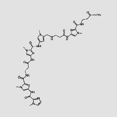 COC(=O)CCNC(=O)c1nc(NC(=O)CCNCc2cc(NC(=O)c3nc(NC(=O)CCNC(=O)c4cc(NC(=O)c5nccn5C)cn4C)cn3C)cn2C)cn1C